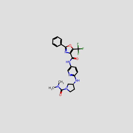 CN(C)C(=O)N1CC[C@H](Nc2ccc(NC(=O)c3nc(-c4ccccc4)oc3C(F)(F)F)cn2)C1